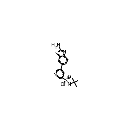 CC(C)(C)NS(=O)(=O)c1cncc(-c2ccc3nc(N)sc3c2)c1